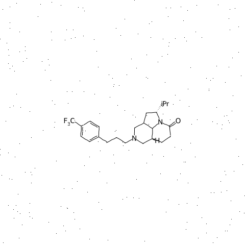 CC(C)[C@H]1CC2CN(CCCc3ccc(C(F)(F)F)cc3)C[C@H]3CCC(=O)N1C23